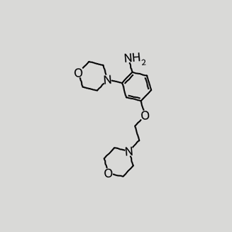 Nc1ccc(OCCN2CCOCC2)cc1N1CCOCC1